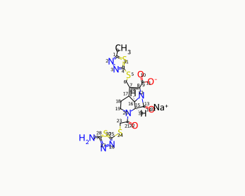 Cc1nnc(SCC2=C(C(=O)[O-])N3C(=O)[C@@H]4[C@H]3C2CCN4C(=O)CSc2nnc(N)s2)s1.[Na+]